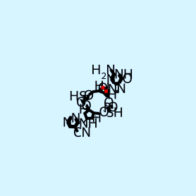 C[C@H]1[C@H]2OP(=O)(S)OC[C@H]3C[C@@H](Nc4ncncc4C#N)C[C@@H]3OP(=O)(S)OC[C@H]1O[C@H]2n1cnc2c(=O)[nH]c(N)nc21